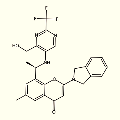 Cc1cc([C@@H](C)Nc2cnc(C(F)(F)F)nc2CO)c2oc(N3Cc4ccccc4C3)cc(=O)c2c1